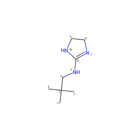 CC(C)(C)CNC1=NCCN1